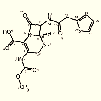 COC(=O)NC1=C(C(=O)O)N2C(=O)C(NC(=O)Cc3cccs3)[C@@H]2SC1